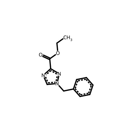 CCOC(=O)c1ncn(Cc2ccccc2)n1